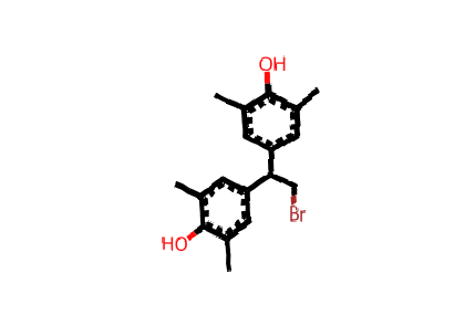 Cc1cc(C(CBr)c2cc(C)c(O)c(C)c2)cc(C)c1O